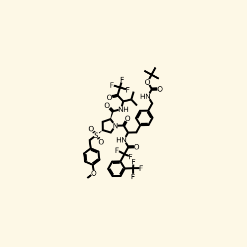 COc1ccc(CS(=O)(=O)[C@@H]2C[C@@H](C(=O)NC(C(=O)C(F)(F)F)C(C)C)N(C(=O)C(Cc3ccc(CNC(=O)OC(C)(C)C)cc3)NC(=O)C(F)(F)c3ccccc3C(F)(F)F)C2)cc1